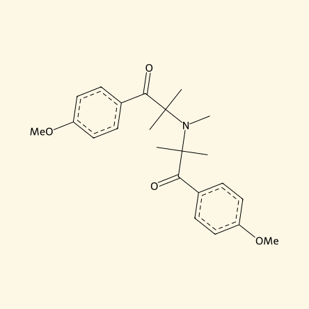 COc1ccc(C(=O)C(C)(C)N(C)C(C)(C)C(=O)c2ccc(OC)cc2)cc1